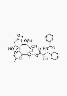 C=C(C)O[C@H]1C(=O)[C@@]2(C)C([C@H](O)[C@]3(O)C[C@H](OC(=O)[C@H](O)[C@@H](NC(=O)c4ccccc4)c4ccccc4)C(C)=C1C3(C)C)[C@]1(OC(C)=O)COC1C[C@@H]2O